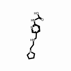 O=C(O)Nc1ccc(CNCCN2CCCC2)cn1